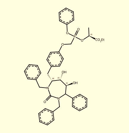 CCOC(=O)[C@H](C)OP(=O)(COc1ccc(C[C@@H]2[C@H](O)[C@@H](O)C(c3ccccc3)N(Cc3ccccc3)C(=O)N2Cc2ccccc2)cc1)Oc1ccccc1